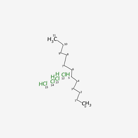 CCCCCCCCCCCC.Cl.Cl.Cl.Cl